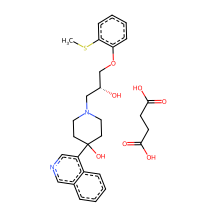 CSc1ccccc1OC[C@H](O)CN1CCC(O)(c2cncc3ccccc23)CC1.O=C(O)CCC(=O)O